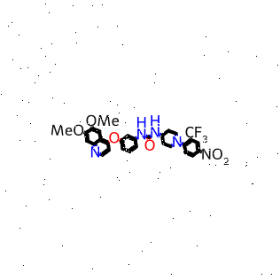 COc1cc2nccc(Oc3cccc(NC(=O)NC4CCN(c5ccc([N+](=O)[O-])cc5C(F)(F)F)CC4)c3)c2cc1OC